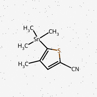 Cc1cc(C#N)s[c]1[Sn]([CH3])([CH3])[CH3]